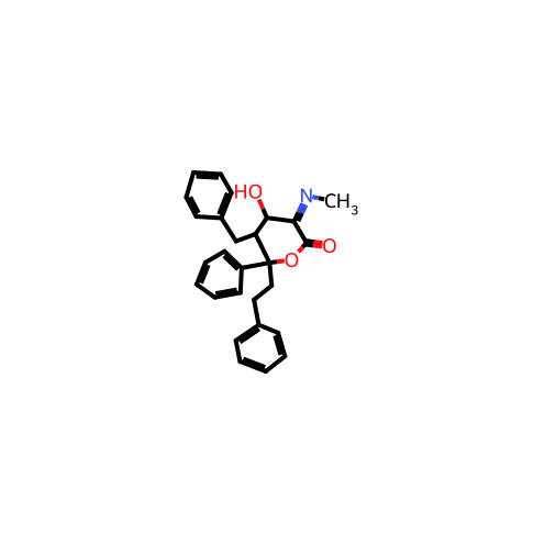 CN=C1C(=O)OC(CCc2ccccc2)(c2ccccc2)C(Cc2ccccc2)C1O